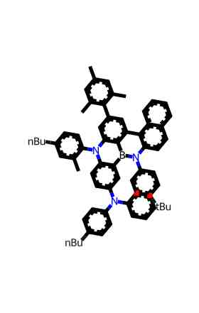 CCCCc1ccc(N(c2ccccc2)c2ccc3c(c2)B2c4c(cc(-c5c(C)cc(C)cc5C)cc4N3c3ccc(CCCC)cc3C)-c3c(ccc4ccccc34)N2c2ccc(C(C)(C)C)cc2)cc1